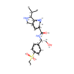 CCS(=O)(=O)c1ccc([C@@H](CO)NC(=O)c2cnc3c(c2)CNC3C(C)C)cc1